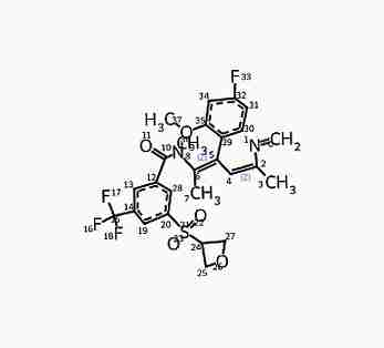 C=N/C(C)=C\C(=C(/C)N(C)C(=O)c1cc(C(F)(F)F)cc(S(=O)(=O)C2COC2)c1)c1ccc(F)cc1OC